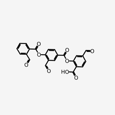 O=Cc1ccc(C(=O)O)c(OC(=O)c2ccc(OC(=O)c3ccccc3C=O)c(C=O)c2)c1